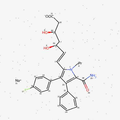 CC(C)n1c(C=C[C@@H](O)C[C@@H](O)CC(=O)[O-])c(-c2ccc(F)cc2)c(-c2ccccc2)c1C(N)=O.[Na+]